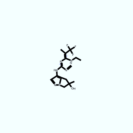 C=N/C(=N\C(NCC)=C(/C)C(F)(F)F)Nc1cnn2c1CC(C)(O)C2